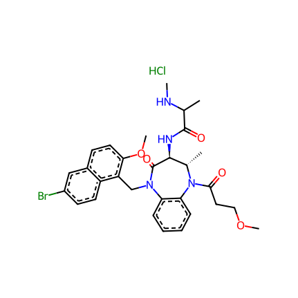 CNC(C)C(=O)N[C@@H]1C(=O)N(Cc2c(OC)ccc3cc(Br)ccc23)c2ccccc2N(C(=O)CCOC)[C@H]1C.Cl